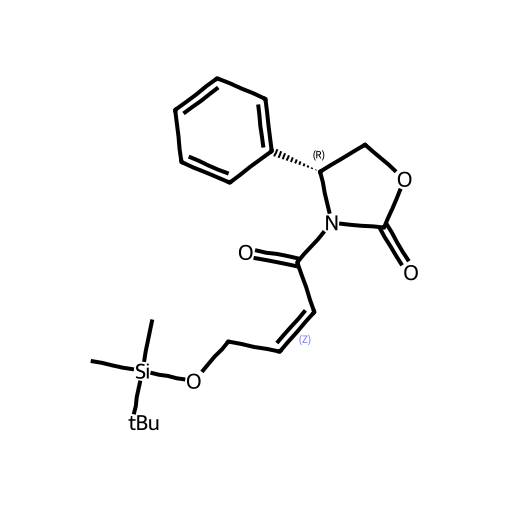 CC(C)(C)[Si](C)(C)OC/C=C\C(=O)N1C(=O)OC[C@H]1c1ccccc1